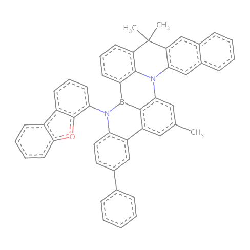 Cc1cc2c3c(c1)N1c4cc5ccccc5cc4C(C)(C)c4cccc(c41)B3N(c1cccc3c1oc1ccccc13)c1ccc(-c3ccccc3)cc1-2